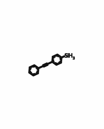 [SiH3]c1ccc(C#Cc2ccccc2)cc1